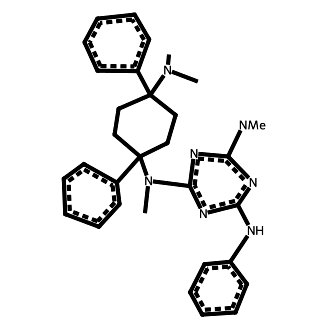 CNc1nc(Nc2ccccc2)nc(N(C)C2(c3ccccc3)CCC(c3ccccc3)(N(C)C)CC2)n1